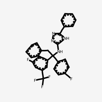 Fc1ccc(C(Cc2ccccc2)(Nc2nnc(-c3ccccc3)[nH]2)c2cc(F)cc(C(F)(F)F)c2)cc1